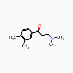 Cc1ccc(C(=O)CCN(C)C)cc1C